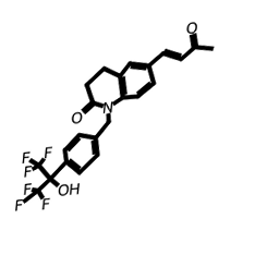 CC(=O)C=Cc1ccc2c(c1)CCC(=O)N2Cc1ccc(C(O)(C(F)(F)F)C(F)(F)F)cc1